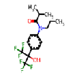 CCCN(C(=O)C(C)C)c1ccc(C(O)(C(F)(F)F)C(F)(F)F)cc1